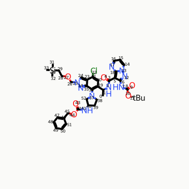 CC(NC(=O)c1c(NC(=O)OC(C)(C)C)nn2cccnc12)c1cc(Cl)c2cn(COCC[Si](C)(C)C)nc2c1N1CC[C@H](NC(=O)OCc2ccccc2)C1